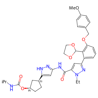 CCn1nc(-c2cccc(OCc3ccc(OC)cc3)c2C2OCCO2)cc1C(=O)Nc1cc([C@H]2CC[C@@H](OC(=O)NC(C)C)C2)[nH]n1